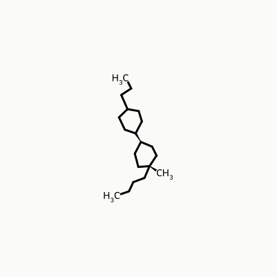 CCCC[C@]1(C)CC[C@@H](C2CCC(CCC)CC2)CC1